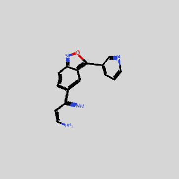 N=C(/C=C\N)c1ccc2noc(-c3cccnc3)c2c1